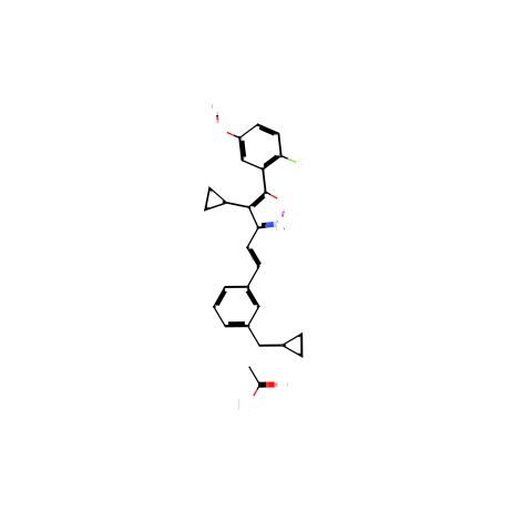 COc1ccc(F)c(-c2onc(/C=C/c3cccc([C@@H](CC(=O)O)C4CC4)c3)c2C2CC2)c1